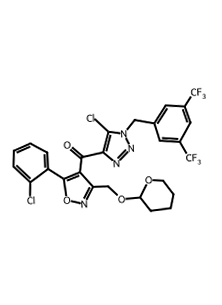 O=C(c1nnn(Cc2cc(C(F)(F)F)cc(C(F)(F)F)c2)c1Cl)c1c(COC2CCCCO2)noc1-c1ccccc1Cl